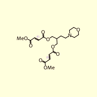 COC(=O)/C=C/C(=O)OCC(CCN1CCOCC1)COC(=O)/C=C/C(=O)OC